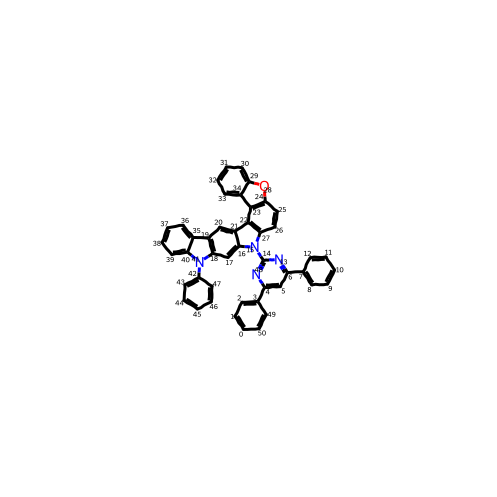 c1ccc(-c2cc(-c3ccccc3)nc(-n3c4cc5c(cc4c4c6c(ccc43)oc3ccccc36)c3ccccc3n5-c3ccccc3)n2)cc1